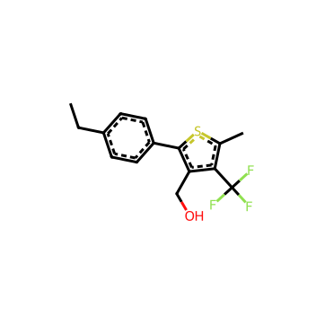 CCc1ccc(-c2sc(C)c(C(F)(F)F)c2CO)cc1